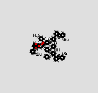 Cc1cc(C)c(N2c3cc4c(cc3B3c5ccccc5N(c5ccccc5)c5cc(-c6cccc7c6oc6c(C(C)(C)C)cccc67)cc2c53)B2c3cc5c(cc3Oc3cc(-c6cccc7c6oc6c(C(C)(C)C)cccc67)cc(c32)O4)Nc2cc(-c3cccc4c3oc3c(C(C)(C)C)cccc34)cc3c2B5c2ccccc2N3c2ccccc2)c(C)c1